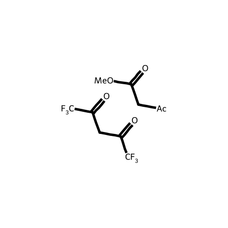 COC(=O)CC(C)=O.O=C(CC(=O)C(F)(F)F)C(F)(F)F